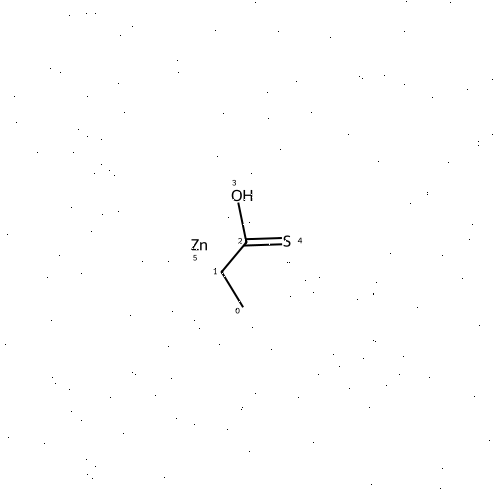 CCC(O)=S.[Zn]